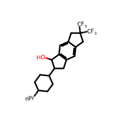 CCCC1CCC(C2Cc3cc4c(cc3C2O)CC(C(F)(F)F)(C(F)(F)F)C4)CC1